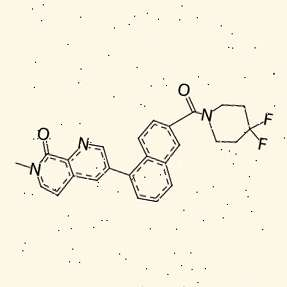 Cn1ccc2cc(-c3cccc4cc(C(=O)N5CCC(F)(F)CC5)ccc34)cnc2c1=O